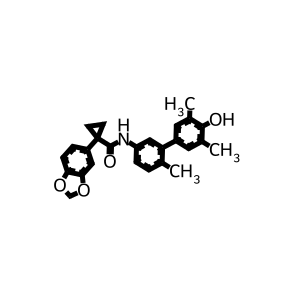 Cc1ccc(NC(=O)C2(c3ccc4c(c3)OCO4)CC2)cc1-c1cc(C)c(O)c(C)c1